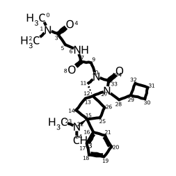 CN(C)C(=O)CNC(=O)CN1C[C@]2(CC[C@](c3ccccc3)(N(C)C)CC2)N(CC2CCC2)C1=O